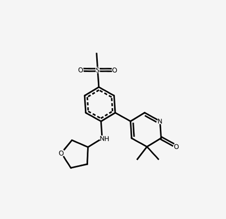 CC1(C)C=C(c2cc(S(C)(=O)=O)ccc2NC2CCOC2)C=NC1=O